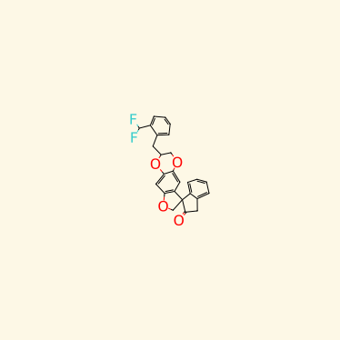 O=C1Cc2ccccc2C12COc1cc3c(cc12)OCC(Cc1ccccc1C(F)F)O3